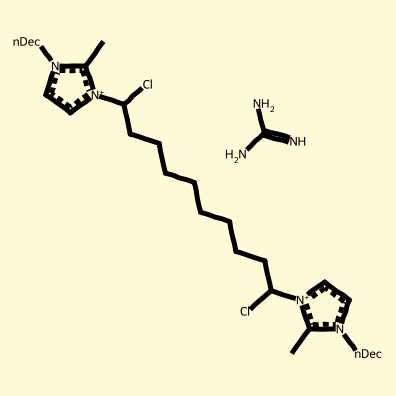 CCCCCCCCCCn1cc[n+](C(Cl)CCCCCCCCC(Cl)[n+]2ccn(CCCCCCCCCC)c2C)c1C.N=C(N)N